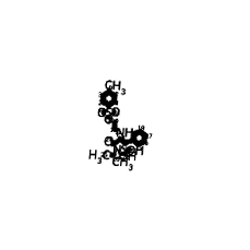 Cc1ccc(S(=O)(=O)OCCNC2=C(c3ccccc3)S(O)(O)N(C(C)C)C2=O)cc1